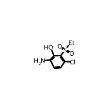 CCS(=O)(=O)c1c(Cl)ccc(N)c1O